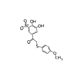 COc1ccc(SCC(=O)c2cc(O)c(O)c([N+](=O)[O-])c2)cc1